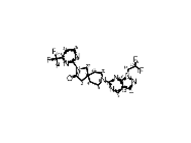 O=C1CC2(CCN(c3ncc4cnn(CC(F)F)c4n3)CC2)CN1c1nccc(C(F)(F)F)n1